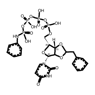 O=c1ccn([C@@H]2O[C@H](COP(=O)(O)OP(=O)(O)OP(=O)(O)OP(=O)(O)Nc3ccccc3)[C@@H]3OC(Cc4ccccc4)OC32)c(=O)[nH]1